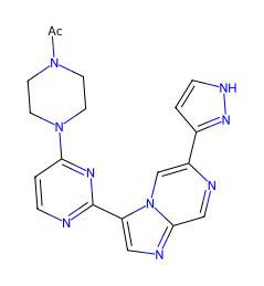 CC(=O)N1CCN(c2ccnc(-c3cnc4cnc(-c5cc[nH]n5)cn34)n2)CC1